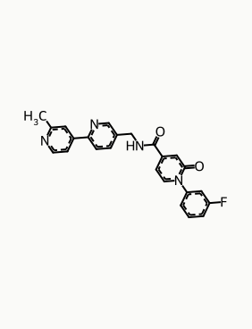 Cc1cc(-c2ccc(CNC(=O)c3ccn(-c4cccc(F)c4)c(=O)c3)cn2)ccn1